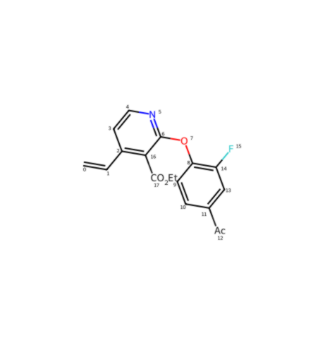 C=Cc1ccnc(Oc2ccc(C(C)=O)cc2F)c1C(=O)OCC